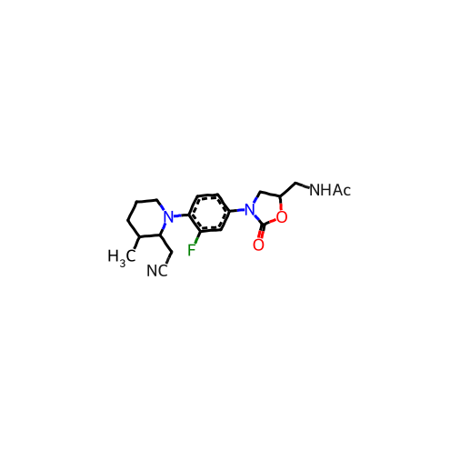 CC(=O)NCC1CN(c2ccc(N3CCCC(C)C3CC#N)c(F)c2)C(=O)O1